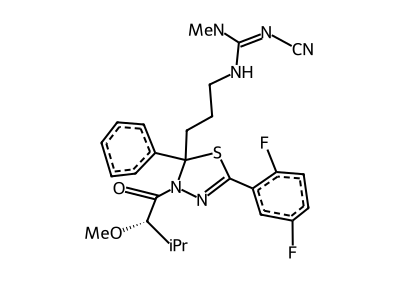 CN/C(=N/C#N)NCCCC1(c2ccccc2)SC(c2cc(F)ccc2F)=NN1C(=O)[C@@H](OC)C(C)C